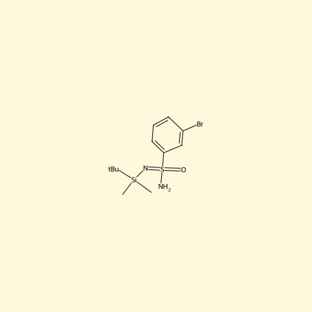 CC(C)(C)[Si](C)(C)N=S(N)(=O)c1cccc(Br)c1